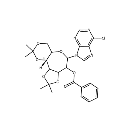 CC1(C)OC2C(OC(=O)c3ccccc3)C(n3cnc4c(Cl)ncnc43)OC3COC(C)(C)O[C@H]3C2O1